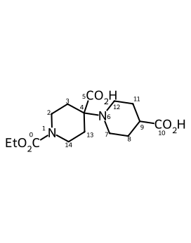 CCOC(=O)N1CCC(C(=O)O)(N2CCC(C(=O)O)CC2)CC1